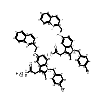 Cc1c(CC(=O)O)c2cc(OCc3ccc4ccccc4n3)ccc2n1Cc1ccc(Br)cc1.Cc1c(CC(=O)O)c2cc(OCc3ccc4ccccc4n3)ccc2n1Cc1ccc(Br)cc1.O